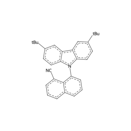 CC(C)(C)c1ccc2c(c1)c1cc(C(C)(C)C)ccc1n2-c1cccc2cccc(C#N)c12